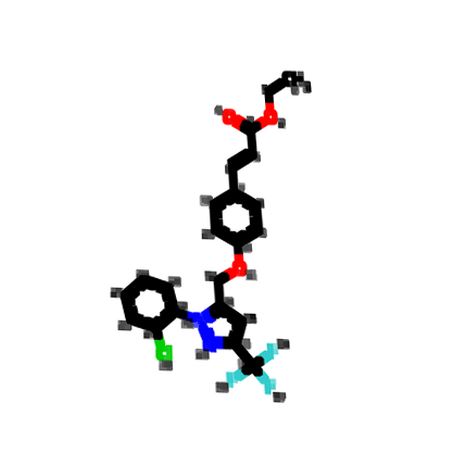 CCOC(=O)/C=C/c1ccc(OCc2cc(C(F)(F)F)nn2-c2ccccc2Cl)cc1